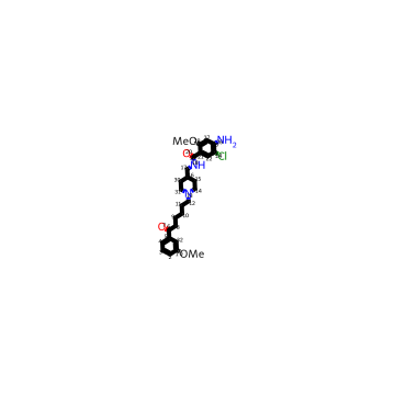 COc1cccc(C(=O)CCCCCN2CCC(CNC(=O)c3cc(Cl)c(N)cc3OC)CC2)c1